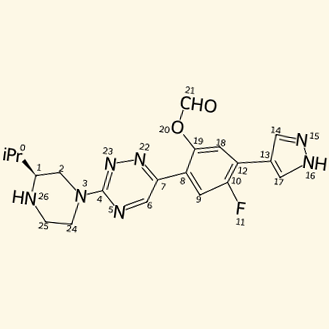 CC(C)[C@H]1CN(c2ncc(-c3cc(F)c(-c4cn[nH]c4)cc3OC=O)nn2)CCN1